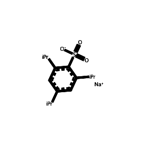 CC(C)c1cc(C(C)C)c(S(=O)(=O)[O-])c(C(C)C)c1.[Na+]